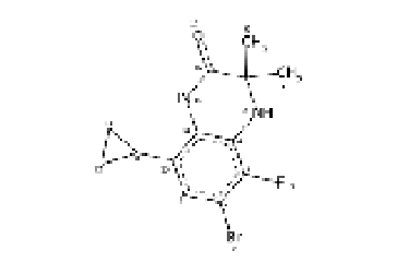 CC1(C)Nc2c(F)c(Br)cc(C3CC3)c2NC1=O